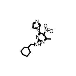 Cc1nc(NCC2CCCCC2)nc(-n2ccnc2)c1[N+](=O)[O-]